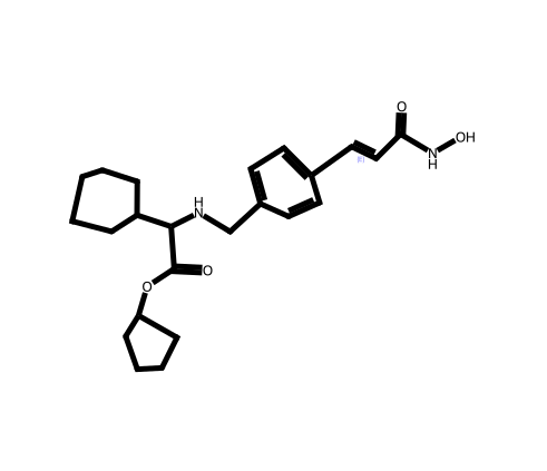 O=C(/C=C/c1ccc(CNC(C(=O)OC2CCCC2)C2CCCCC2)cc1)NO